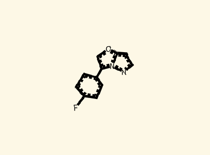 Fc1ccc(-c2coc3ccnn23)cc1